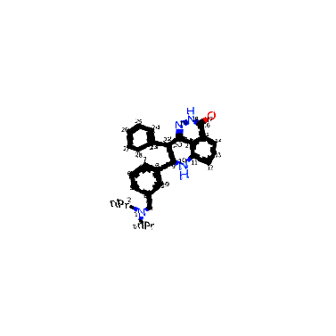 CCCN(CCC)Cc1cccc(C2Nc3cccc4c(=O)[nH]nc(c34)C2C2=CC=C=CC2)c1